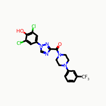 O=C(c1ncn(-c2cc(Cl)c(O)c(Cl)c2)n1)N1CCN(c2cccc(C(F)(F)F)c2)CC1